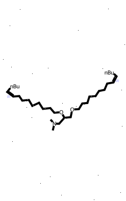 CCCC/C=C\CCCCCCCCOCC(CN(C)C)OCCCCCCCC/C=C\CCCC